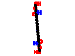 O=C(CCCCCC/C=C/CCCCCCCCCCC(=O)NCCOCCO)NCCOCCO